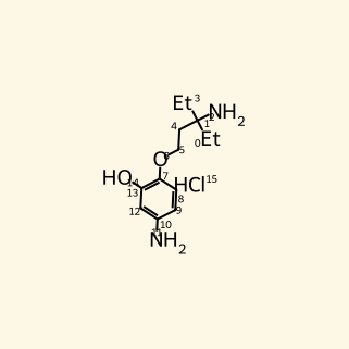 CCC(N)(CC)CCOc1ccc(N)cc1O.Cl